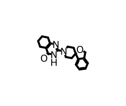 O=c1[nH]c(N2CCC3(CC2)OCc2ccccc23)nc2c1CCCC2